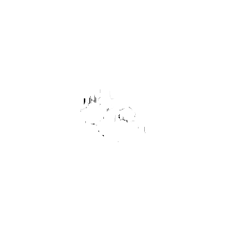 CC[C@H](c1ccc(C)cc1)C(CC(N)=O)(C(N)=O)[C@@H](C(N)=O)C(C)(C)C